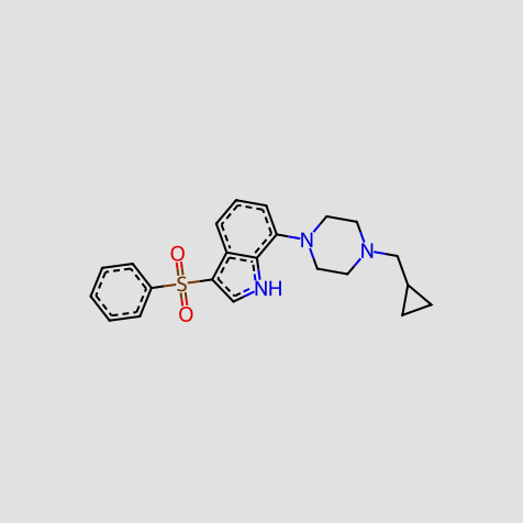 O=S(=O)(c1ccccc1)c1c[nH]c2c(N3CCN(CC4CC4)CC3)cccc12